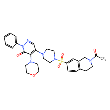 O=C(N1CCc2ccc(S(=O)(=O)N3CCN(c4cnn(-c5ccccc5)c(=O)c4N4CCOCC4)CC3)cc2C1)C(F)(F)F